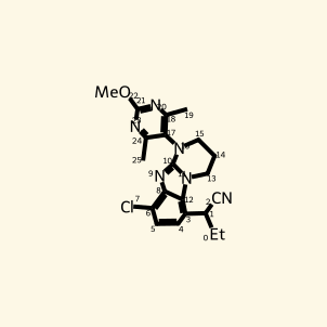 CCC(C#N)c1ccc(Cl)c2nc3n(c12)CCCN3c1c(C)nc(OC)nc1C